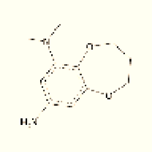 CN(C)c1cc(N)cc2c1OCCCO2